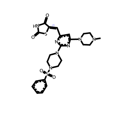 CN1CCN(c2cc(/C=C3\SC(=O)NC3=O)nc(N3CCN(S(=O)(=O)c4ccccc4)CC3)n2)CC1